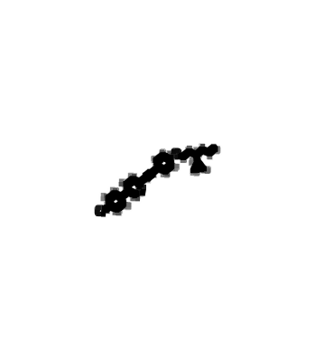 C=CC[C](CCOc1ccc(C#Cc2ccc(-c3ccc(Cl)cc3)cn2)cc1)C1CC1